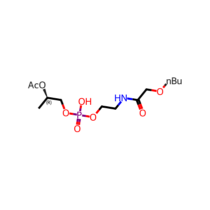 CCCCOCC(=O)NCCOP(=O)(O)OC[C@@H](C)OC(C)=O